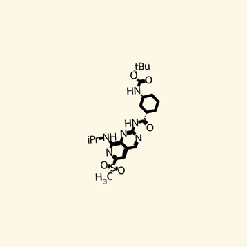 CC(C)Nc1nc(S(C)(=O)=O)cc2cnc(NC(=O)[C@H]3CCC[C@@H](NC(=O)OC(C)(C)C)C3)nc12